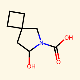 O=C(O)N1CC2(CCC2)CC1O